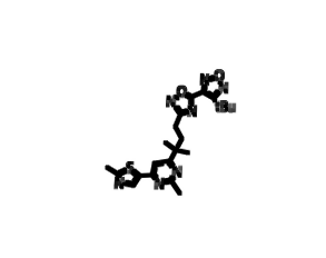 Cc1nc(-c2cnc(C)s2)cc(C(C)(C)CCc2noc(-c3nonc3C(C)(C)C)n2)n1